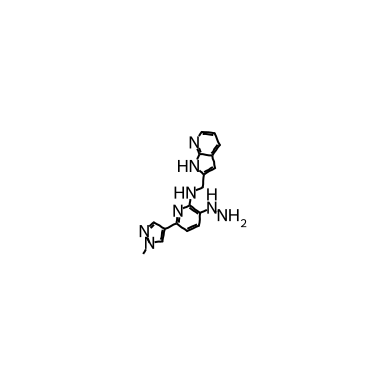 Cn1cc(-c2ccc(NN)c(NCc3cc4cccnc4[nH]3)n2)cn1